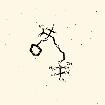 C[C@@H](CCOCCC(OCc1ccccc1)(C(=O)O)C(F)(F)F)O[Si](C)(C)C(C)(C)C